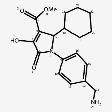 COC(=O)C1=C(O)C(=O)N(c2ccc(CN)cc2)C1C1CCCCC1